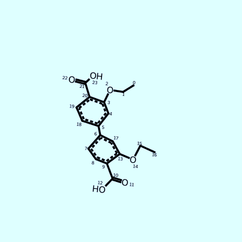 CCOc1cc(-c2ccc(C(=O)O)c(OCC)c2)ccc1C(=O)O